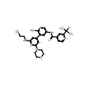 Cc1ncc(NC(=O)c2ccnc(C(C)(C)F)c2)cc1-c1cc(NCCO)nc(N2CCOCC2)c1